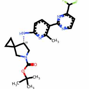 Cc1nc(N[C@@H]2CN(C(=O)OC(C)(C)C)CC23CC3)ccc1-c1nccc(C(F)F)n1